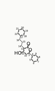 O=c1oc(-c2ccccc2)cc(O)c1CCCc1ccccc1